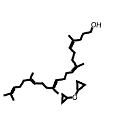 C1CC1OC1CC1.CC(C)=CCCC(C)=CCCC(C)=CCCC=C(C)CCC=C(C)CCCO